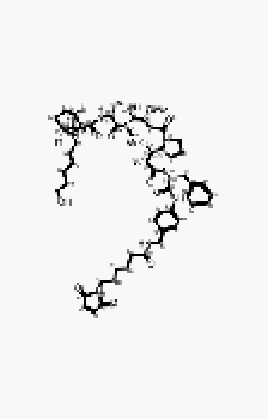 CC[C@H](C)[C@@H]([C@@H](CC(=O)N1CCC[C@H]1[C@H](OC)[C@@H](C)C(=O)N[C@@H](Cc1ccccc1)C(=O)Nc1ccc(CNC(=O)CCCCCN2C(=O)C=CC2=O)cc1)OC)N(C)C(=O)[C@@H](NC(=O)[C@@H]1[C@H]2CC[C@@H]([C@H]2C)N1CCCCCCO)C(C)C